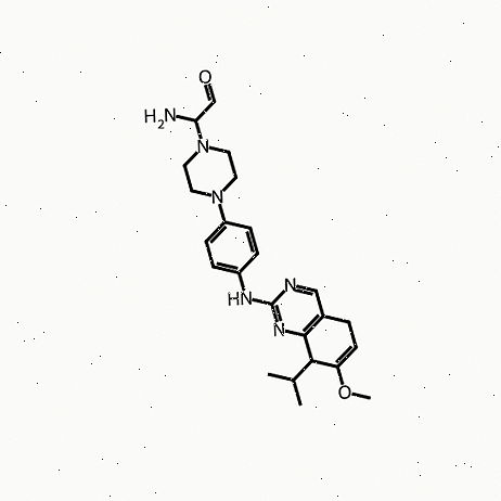 COC1=CCc2cnc(Nc3ccc(N4CCN(C(N)C=O)CC4)cc3)nc2C1C(C)C